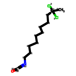 C[Si](Cl)(Cl)CCCCCCCCCN=C=O